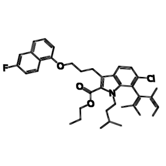 C/C=C(/C)C(=C(C)C)c1c(Cl)ccc2c(CCCOc3cccc4cc(F)ccc34)c(C(=O)OCCC)n(CCC(C)C)c12